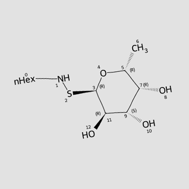 CCCCCCNS[C@H]1O[C@H](C)[C@H](O)[C@H](O)[C@H]1O